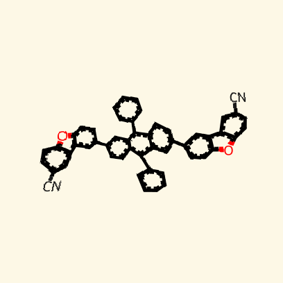 N#Cc1ccc2oc3ccc(-c4ccc5c(-c6ccccc6)c6cc(-c7ccc8oc9ccc(C#N)cc9c8c7)ccc6c(-c6ccccc6)c5c4)cc3c2c1